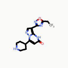 O=c1cc(C2CCNCC2)n2ncc(-c3noc(CC(F)(F)F)n3)c2[nH]1